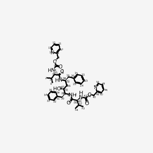 CC(C)[C@H](NC(=O)OCc1ccccn1)C(=O)N[C@@H](Cc1ccccc1)C[C@H](O)[C@H](Cc1ccccc1)NC(=O)[C@@H](NC(=O)OCc1ccccn1)C(C)C